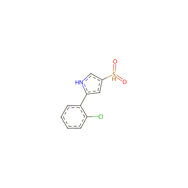 O=[SH](=O)c1c[nH]c(-c2ccccc2Cl)c1